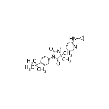 CC(C)(C)c1ccc(N2C(=O)N(Cc3ccnc(NC4CC4)c3)C(C)(C)C2=O)cc1